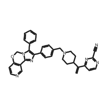 C=C(c1ccnc(C#N)n1)C1CCN(Cc2ccc(-c3nc4n(c3-c3ccccc3)COc3ccncc3-4)cc2)CC1